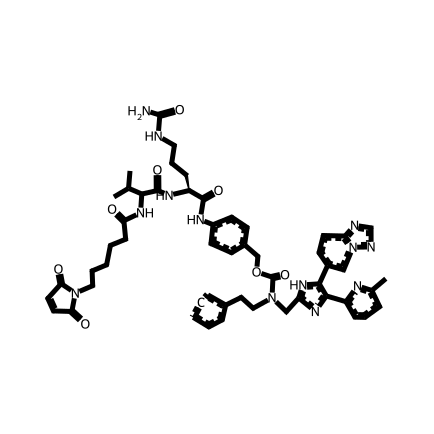 Cc1cccc(-c2nc(CN(CCc3ccccc3)C(=O)OCc3ccc(NC(=O)[C@H](CCCNC(N)=O)NC(=O)C(NC(=O)CCCCCN4C(=O)C=CC4=O)C(C)C)cc3)[nH]c2-c2ccc3ncnn3c2)n1